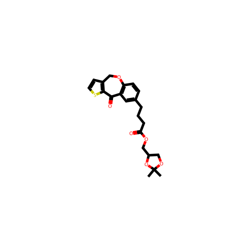 CC1(C)OCC(COC(=O)CCCc2ccc3c(c2)C(=O)c2sccc2CO3)O1